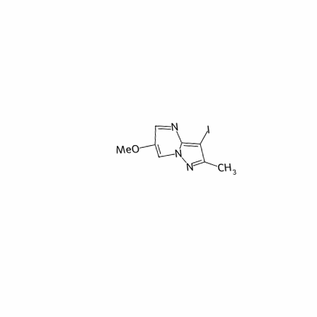 COc1cnc2c(I)c(C)nn2c1